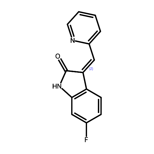 O=C1Nc2cc(F)ccc2/C1=C/c1ccccn1